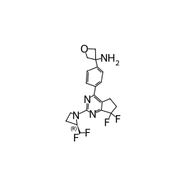 NC1(c2ccc(-c3nc(N4CC[C@@H]4C(F)F)nc4c3CCC4(F)F)cc2)COC1